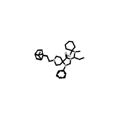 CCC(N1CN(c2ccccc2)C2(CCN(CCC3CCC4CC3C4(C)C)CC2)C1=O)N(C)C1(O)CCCCC1